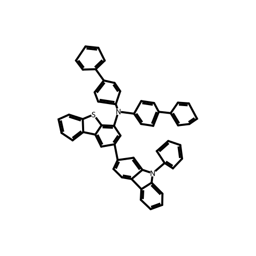 c1ccc(-c2ccc(N(c3ccc(-c4ccccc4)cc3)c3cc(-c4ccc5c6ccccc6n(-c6ccccc6)c5c4)cc4c3sc3ccccc34)cc2)cc1